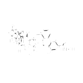 CNC(=O)c1cc(Br)cc(-c2cccc(CN3O[C@@H](CO)[C@H]([C@H](C)O)[C@H]3C(=O)N[C@H]3C[C@H]4C[C@@H]([C@@H]3C)C4(C)C)c2OC)c1